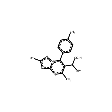 CCCC(C(=O)O)c1c(C)nc2nc(C(C)C)nn2c1-c1ccc(C)cc1